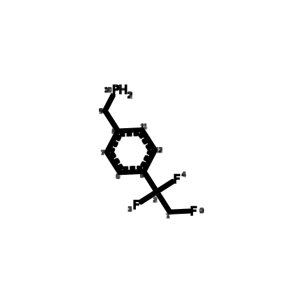 FCC(F)(F)c1ccc(CP)cc1